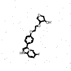 OC1COCC1OCCOc1ccc(C2=CNC3C=CC(F)=CN23)cc1